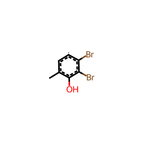 Cc1c[c]c(Br)c(Br)c1O